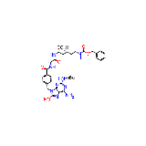 CCCCNc1nc(N)c2nc(O)n(Cc3ccc(C(=O)NCC(=O)N[C@@H](CCCCNC(=O)OCc4ccccc4)C(=O)O)cc3)c2n1